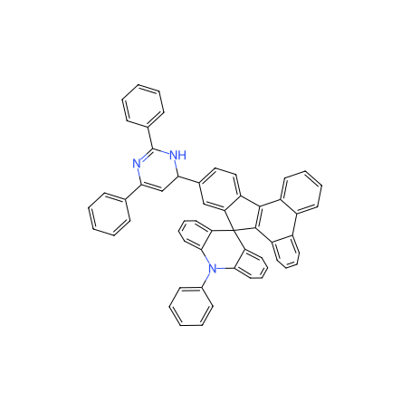 C1=C(c2ccccc2)N=C(c2ccccc2)NC1c1ccc2c(c1)C1(c3ccccc3N(c3ccccc3)c3ccccc31)c1c-2c2ccccc2c2ccccc12